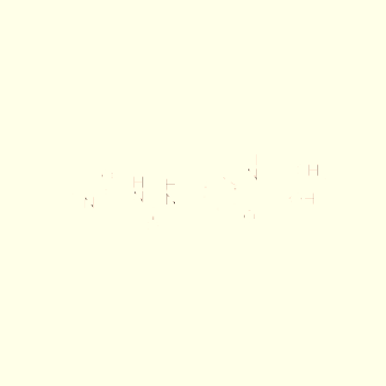 CC[C@H]1Nc2ccc(CNC(=O)NCC(=O)N3CCCC3)cc2OC[C@H]1O